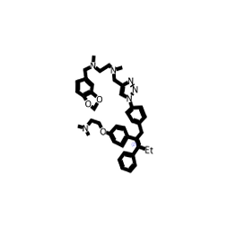 CC/C(=C(\Cc1ccc(-n2cc(CN(C)CCN(C)Cc3ccc4c(c3)OCO4)nn2)cc1)c1ccc(OCCN(C)C)cc1)c1ccccc1